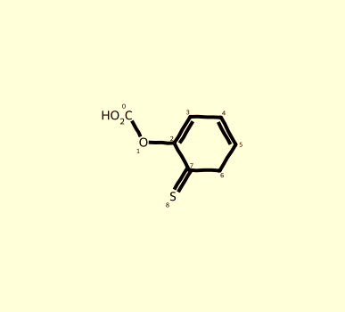 O=C(O)OC1=CC=CCC1=S